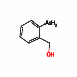 OCc1ccccc1[AsH2]